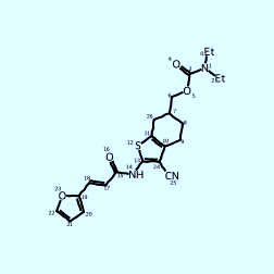 CCN(CC)C(=O)OCC1CCc2c(sc(NC(=O)C=Cc3ccco3)c2C#N)C1